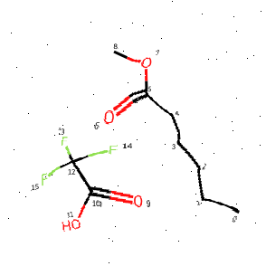 CCCCCC(=O)OC.O=C(O)C(F)(F)F